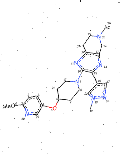 COc1ccc(OC2CCN(c3nc4c(nc3-c3cnn(C)c3)CN(C(C)=O)CC4)CC2)cn1